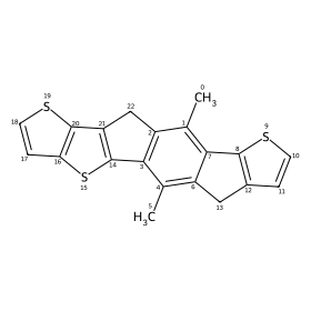 Cc1c2c(c(C)c3c1-c1sccc1C3)-c1sc3ccsc3c1C2